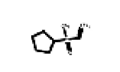 C=CP(=O)(O)C1CCCC1